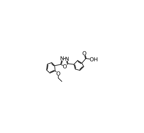 CCOc1ccccc1-c1nnc(-c2cccc(C(=O)O)c2)o1